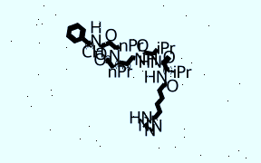 CCCC(C(=O)C(=O)N[C@H](C)c1ccccc1)N1C(=O)C[C@@H]1[C@@H](CCC)CNC(=O)C(NC(=O)[C@H](NC(=O)CCCCc1nnn[nH]1)C(C)C)C(C)C